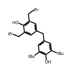 CC(C)Cc1cc(Cc2cc(C(C)(C)C)c(O)c(C(C)(C)C)c2)cc(CC(C)C)c1O